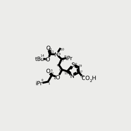 CC(C)CC(=O)OC(CC(C(C)C)N(C)C(=O)OC(C)(C)C)c1nc(C(=O)O)cs1